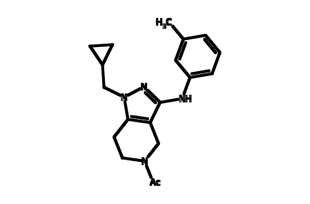 CC(=O)N1CCc2c(c(Nc3cccc(C)c3)nn2CC2CC2)C1